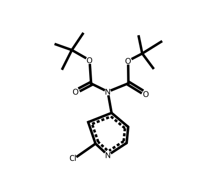 CC(C)(C)OC(=O)N(C(=O)OC(C)(C)C)c1ccnc(Cl)c1